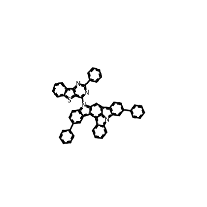 c1ccc(-c2ccc3c(c2)c2c4c5ccccc5n5c6cc(-c7ccccc7)ccc6c(cc2n3-c2nc(-c3ccccc3)nc3c2sc2ccccc23)c45)cc1